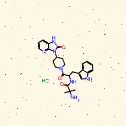 CC(C)(N)C(=O)NC(Cc1c[nH]c2ccccc12)C(=O)N1CCC(n2c(=O)[nH]c3cccnc32)CC1.Cl